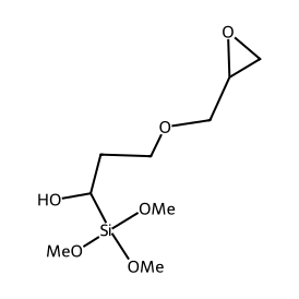 CO[Si](OC)(OC)C(O)CCOCC1CO1